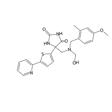 COc1ccc(CN(CO)CC2(c3ccc(-c4ccccn4)s3)NC(=O)NC2=O)c(C)c1